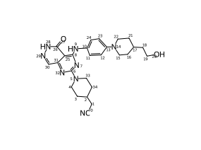 N#CCC1CCN(c2nc(Nc3ccc(N4CCC(CCO)CC4)cc3)c3c(=O)[nH]ncc3n2)CC1